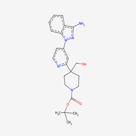 CC(C)(C)OC(=O)N1CCC(CO)(c2cc(-n3nc(N)c4ccccc43)ccn2)CC1